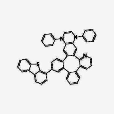 c1ccc(-n2ccn(-c3ccccc3)c3cc4c(cc32)c2ccc(-c3cccc5c3sc3ccccc35)cc2c2ccccc2c2cccnc24)cc1